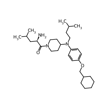 CC(C)CCN(c1ccc(OCC2CCCCC2)cc1)C1CCN(C(=O)[C@H](N)CC(C)C)CC1